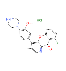 COc1cc(-c2c(C)cnc3c(=O)c4c(Cl)cccc4oc23)ccc1N1CCNCC1.Cl